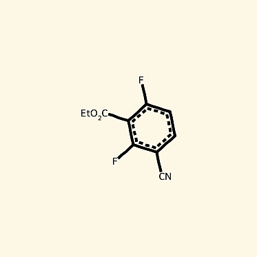 CCOC(=O)c1c(F)ccc(C#N)c1F